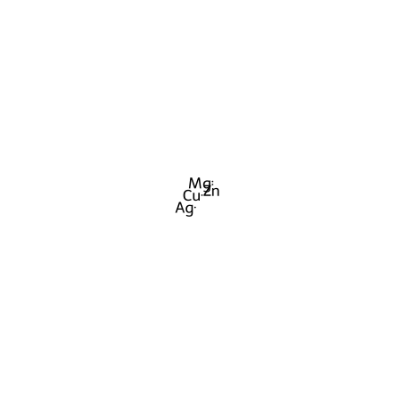 [Ag].[Cu].[Mg].[Zn]